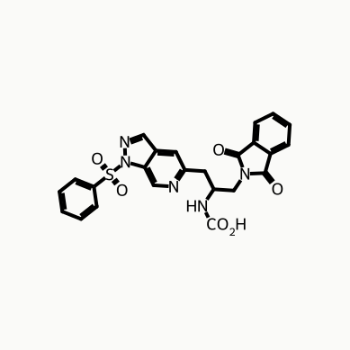 O=C(O)NC(Cc1cc2cnn(S(=O)(=O)c3ccccc3)c2cn1)CN1C(=O)c2ccccc2C1=O